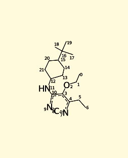 CCOc1c(CC)ncnc1NC1CCC(C(C)(C)C)CC1